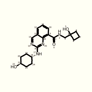 O=C(NCC1(O)CCC1)c1cccc2cnc(N[C@H]3CC[C@H](O)CC3)nc12